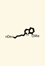 CCCCCCCCCCCCCCCc1ccc2cccc(OC)c2n1